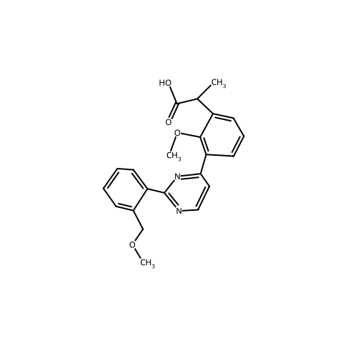 COCc1ccccc1-c1nccc(-c2cccc(C(C)C(=O)O)c2OC)n1